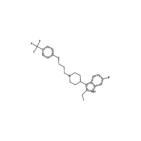 CCc1[nH]c2cc(F)ccc2c1C1CCN(CCCSc2ccc(C(F)(F)F)cc2)CC1